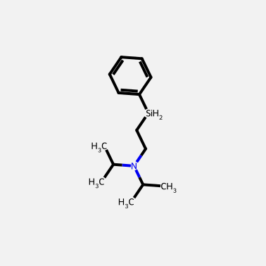 CC(C)N(CC[SiH2]c1ccccc1)C(C)C